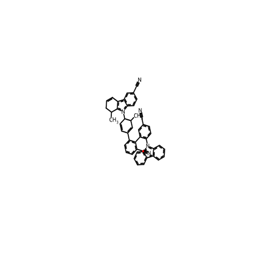 CC1CC=Cc2c1n(C1C=CC(c3cccc(C#N)c3-c3cc(C#N)ccc3-n3c4ccccc4c4ccccc43)=CC1C)c1ccc(C#N)cc21